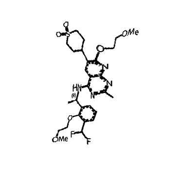 COCCOc1nc2nc(C)nc(N[C@H](C)c3cccc(C(F)F)c3OCCOC)c2cc1C1CCS(=O)(=O)CC1